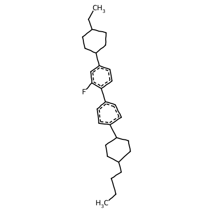 CCCCC1CCC(c2ccc(-c3ccc(C4CCC(CC)CC4)cc3F)cc2)CC1